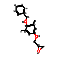 Cc1cc(OCC2CO2)cc(C)c1OCc1ccccc1